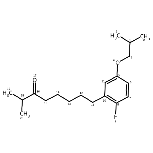 CC(C)COc1ccc(F)c(CCCCCC(=O)C(C)C)c1